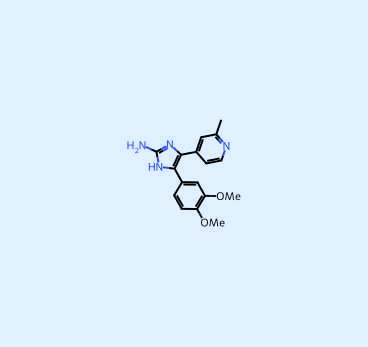 COc1ccc(-c2[nH]c(N)nc2-c2ccnc(C)c2)cc1OC